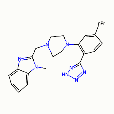 CCCc1ccc(-c2nn[nH]n2)c(N2CCN(Cc3nc4ccccc4n3C)CC2)c1